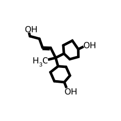 CC(C=CCCO)(C1CCC(O)CC1)C1CCC(O)CC1